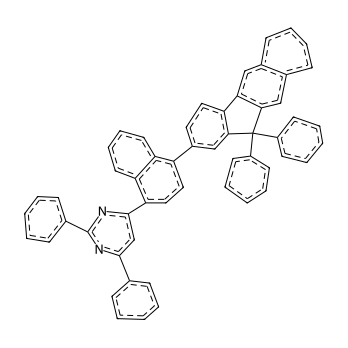 c1ccc(-c2cc(-c3ccc(-c4ccc5c(c4)C(c4ccccc4)(c4ccccc4)c4cc6ccccc6cc4-5)c4ccccc34)nc(-c3ccccc3)n2)cc1